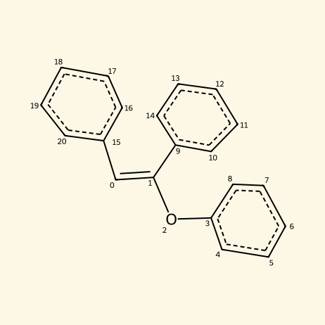 C(=C(Oc1ccccc1)c1ccccc1)c1ccccc1